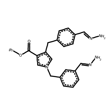 CC(C)OC(=O)c1cn(Cc2cccc(C=NN)c2)cc1Cc1ccc(C=NN)cc1